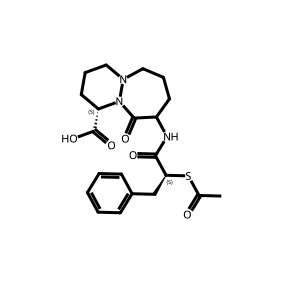 CC(=O)S[C@@H](Cc1ccccc1)C(=O)NC1CCCN2CCC[C@@H](C(=O)O)N2C1=O